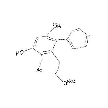 COCCc1c(C(C)=O)c(O)cc(O)c1-c1cc[c]cc1